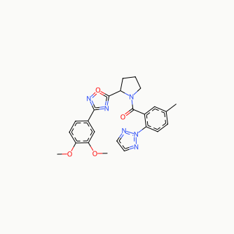 COc1ccc(-c2noc(C3CCCN3C(=O)c3cc(C)ccc3-n3nccn3)n2)cc1OC